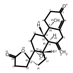 C=C1CC2=CC(=O)CC[C@]2(C)[C@H]2CC[C@@]3(C)[C@@H](CC[C@@]34CCC(=O)O4)[C@H]12